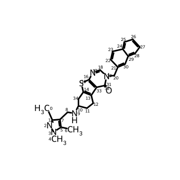 Cc1nn(C)c(C)c1CNC1CCc2c(sc3ncn(Cc4ccc5ccccc5c4)c(=O)c23)C1